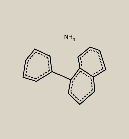 N.c1ccc(-c2cccc3ccccc23)cc1